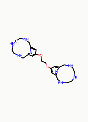 c1c(OCCOc2cc3nc(c2)CNCCNCCNC3)cc2nc1CNCCNCCNC2